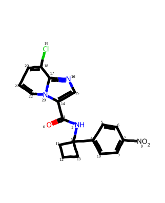 O=C(NC1(c2ccc([N+](=O)[O-])cc2)CCC1)c1cnc2c(Cl)cccn12